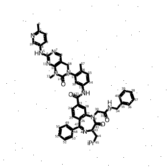 Cc1ccc(Nc2ncc3c(n2)N(C)C(=O)N(c2cc(NC(=O)c4ccc5c(c4)N(CC(=O)NCc4ccccc4)C(=O)C(CC(C)C)N=C5c4ccccc4)ccc2C)C3)cn1